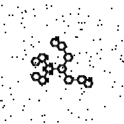 c1cc(-c2cc(-c3cccc(-c4ccc5ncccc5c4)c3)cc(-c3nc(-c4nccc5ccccc45)nc(-c4nccc5ccccc45)n3)c2)cc(-c2ccc3ncccc3c2)c1